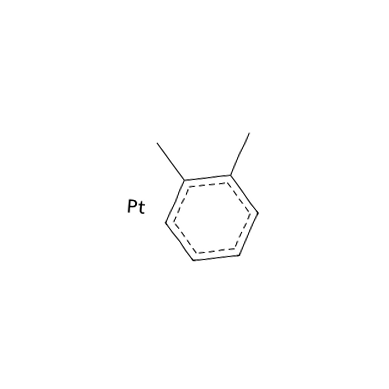 Cc1ccccc1C.[Pt]